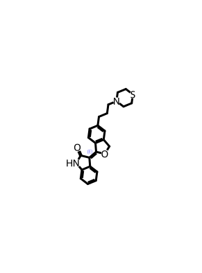 O=C1Nc2ccccc2/C1=C1\OCc2cc(CCCN3CCSCC3)ccc21